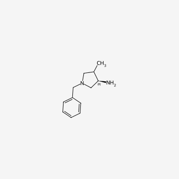 CC1CN(Cc2ccccc2)C[C@@H]1N